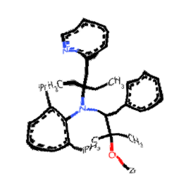 CC(C)c1cccc(C(C)C)c1N(C(c1ccccc1)C(C)(C)[O][Zr])C(C)(C)c1ccccn1